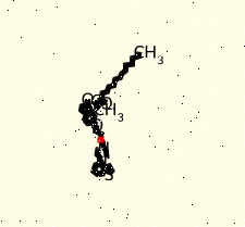 CCCCCCCCCCCCCC(=O)OC(C)n1c(=O)ccc2ccc(OCCCCN3CCN(c4cccc5sccc45)CC3)cc21